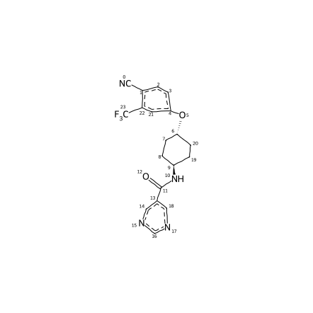 N#Cc1ccc(O[C@H]2CC[C@H](NC(=O)c3cncnc3)CC2)cc1C(F)(F)F